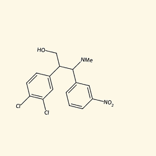 CNC(c1cccc([N+](=O)[O-])c1)C(CO)c1ccc(Cl)c(Cl)c1